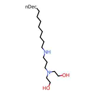 CCCCCCCCCCCCCCCCCCNCCCN(CCO)CCO